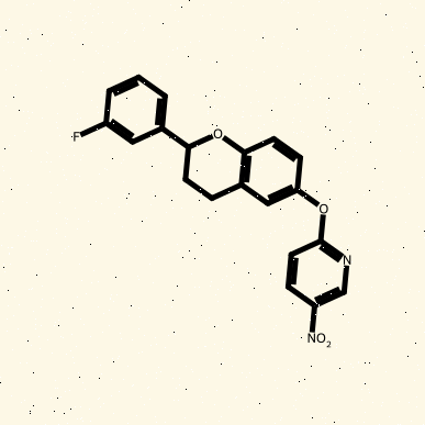 O=[N+]([O-])c1ccc(Oc2ccc3c(c2)CCC(c2cccc(F)c2)O3)nc1